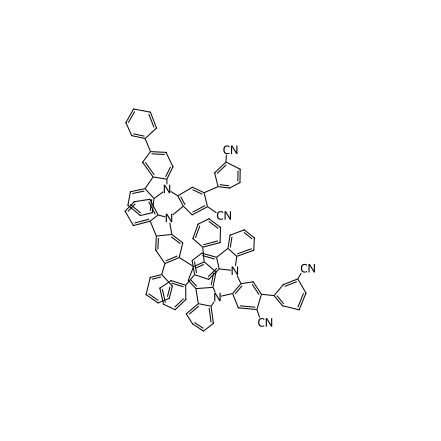 N#Cc1cccc(-c2cc(-n3c4ccccc4c4cc(-c5ccccc5)ccc43)c(-n3c4ccccc4c4cc(-c5ccccc5)c(-c5cc6c7ccccc7n(-c7cc(C#N)c(-c8cccc(C#N)c8)cc7-n7c8ccccc8c8ccc(-c9ccccc9)cc87)c6cc5-c5ccccc5)cc43)cc2C#N)c1